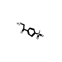 NCC(=O)c1ccc(S(=O)(=O)F)cc1